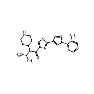 Cc1ccccc1-n1cc(-c2nc(C(=O)N(C(C)C)C3CCNCC3)cs2)cn1